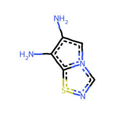 Nc1cn2cnsc2c1N